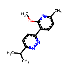 COc1nc(C)ccc1-c1ccc(C(C)C)nn1